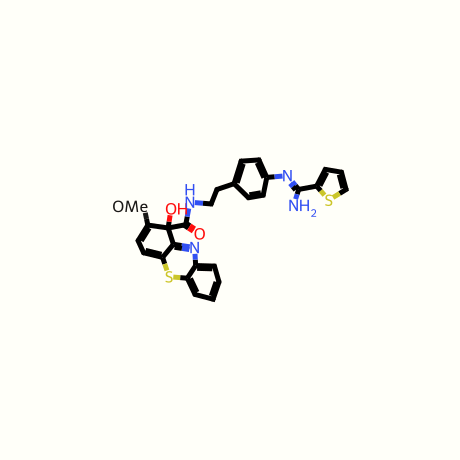 COC1=CC=C2Sc3ccccc3N=C2C1(O)C(=O)NCCc1ccc(N=C(N)c2cccs2)cc1